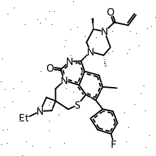 C=CC(=O)N1C[C@H](C)N(c2nc(=O)n3c4c(c(-c5ccc(F)cc5)c(C)cc24)SCC2(CN(CC)C2)C3)C[C@H]1C